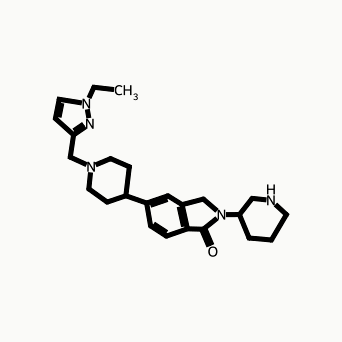 CCn1ccc(CN2CCC(c3ccc4c(c3)CN(C3CCCNC3)C4=O)CC2)n1